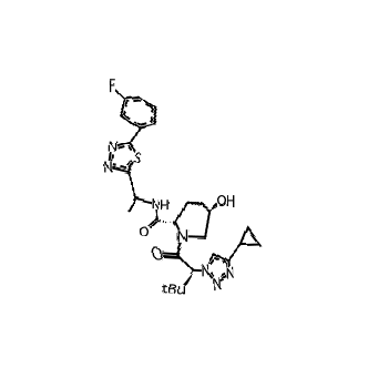 CC(NC(=O)[C@@H]1C[C@@H](O)CN1C(=O)[C@@H](n1cc(C2CC2)nn1)C(C)(C)C)c1nnc(-c2cccc(F)c2)s1